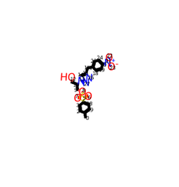 Cc1ccc(S(=O)(=O)OCC(CO)n2cc(Cc3ccc([N+](=O)[O-])cc3)nn2)cc1